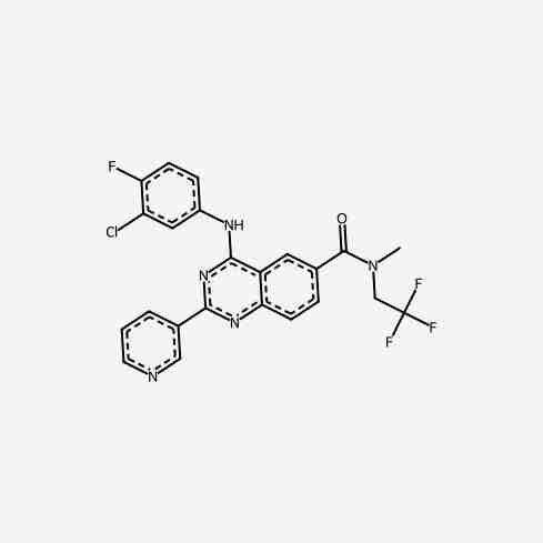 CN(CC(F)(F)F)C(=O)c1ccc2nc(-c3cccnc3)nc(Nc3ccc(F)c(Cl)c3)c2c1